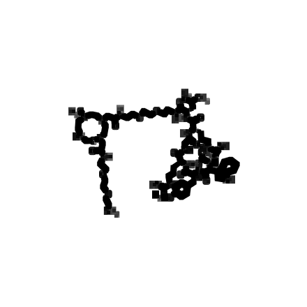 CC(=O)NC(C(=O)N[C@@H](Cc1ccc(O)cc1)C(=O)N[C@@H](CCCNC(=N)N)C(=O)NCC(=O)N[C@@H](CCCNC(=N)N)C(=O)N[C@@H](CC(C)C)C(=O)NCCOCCOCCNC(=O)CN1CCN(C)CCNCCN(CC(=O)NCCOCCOCCN)CC1)c1c[nH]c2ccccc12